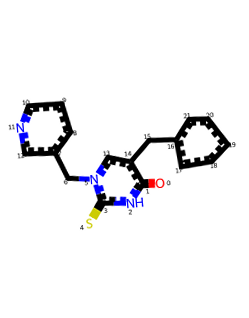 O=c1[nH]c(=S)n(Cc2cccnc2)cc1Cc1ccccc1